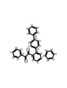 O=C(C(=O)c1ccccc1-c1ccc(-c2ccccc2)cc1)c1ccccc1.c1ccccc1